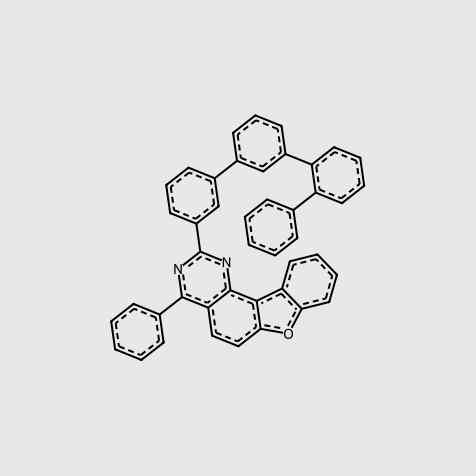 c1ccc(-c2ccccc2-c2cccc(-c3cccc(-c4nc(-c5ccccc5)c5ccc6oc7ccccc7c6c5n4)c3)c2)cc1